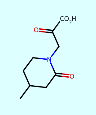 CC1CCN(CC(=O)C(=O)O)C(=O)C1